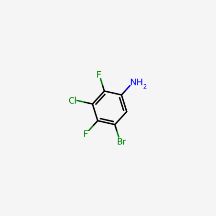 Nc1cc(Br)c(F)c(Cl)c1F